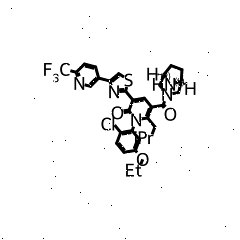 CCOc1ccc(Cl)c(-n2c(CC(C)C)c(C(=O)N3C[C@H]4CC[C@@H](C3)N4)cc(-c3nc(-c4ccc(C(F)(F)F)nc4)cs3)c2=O)c1